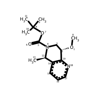 CO[C@H]1CN(C(=O)OC(C)(C)C)[C@H](C)c2cccnc21